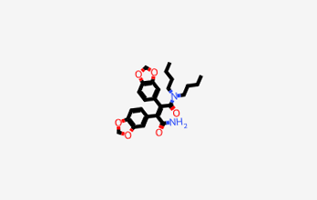 CCCCN(CCCC)C(=O)/C(=C(\C(N)=O)c1ccc2c(c1)OCO2)c1ccc2c(c1)OCO2